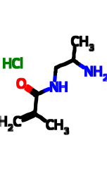 C=C(C)C(=O)NCC(C)N.Cl